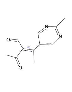 CC(=O)/C(C=O)=C(\C)c1cnc(C)nc1